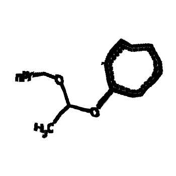 CCCOC(C)Oc1[c]cccc1